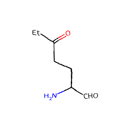 CCC(=O)CCC(N)C=O